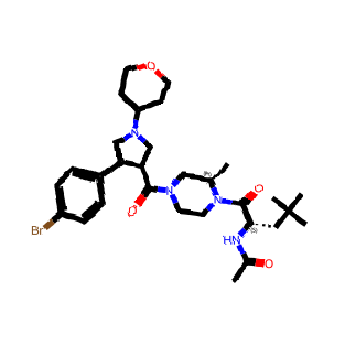 CC(=O)N[C@@H](CC(C)(C)C)C(=O)N1CCN(C(=O)C2CN(C3CCOCC3)CC2c2ccc(Br)cc2)C[C@H]1C